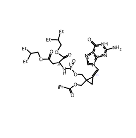 CCC(CC)COC(=O)C[C@H](N[PH](=O)OCC1(COC(=O)C(C)C)C/C1=C/n1cnc2c(=O)[nH]c(N)nc21)C(=O)OCC(CC)CC